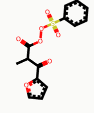 CC(C(=O)OOS(=O)(=O)c1ccccc1)C(=O)c1ccco1